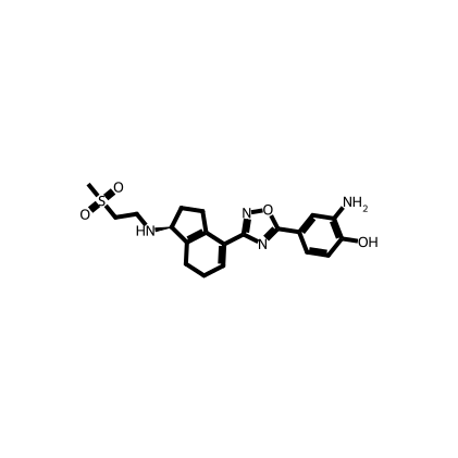 CS(=O)(=O)CCN[C@H]1CCC2=C1CCC=C2c1noc(-c2ccc(O)c(N)c2)n1